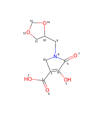 O=C(O)C1=C(O)C(=O)N(CC2COCO2)C1